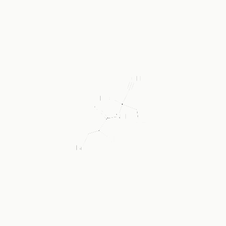 C#CC(C)(CC)NC(=O)C(Cl)CBr